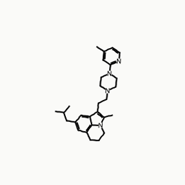 Cc1ccnc(N2CCN(CCc3c(C)n4c5c(cc(CC(C)C)cc35)CCC4)CC2)c1